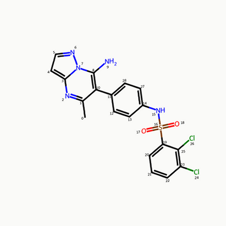 Cc1nc2ccnn2c(N)c1-c1ccc(NS(=O)(=O)c2cccc(Cl)c2Cl)cc1